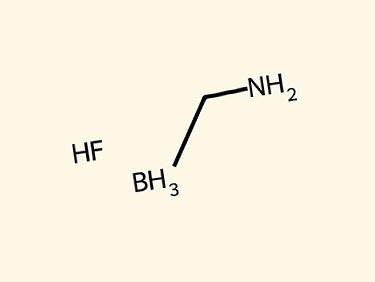 B.CCN.F